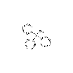 CC(c1[c]cccc1)(c1ccccc1)c1ccccc1